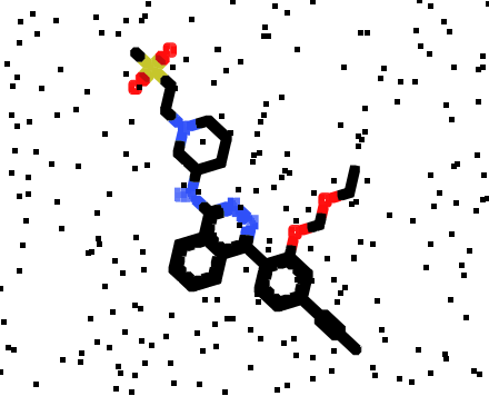 CC#Cc1ccc(-c2nnc(NC3CCCN(CCS(C)(=O)=O)C3)c3ccccc23)c(OCOCC)c1